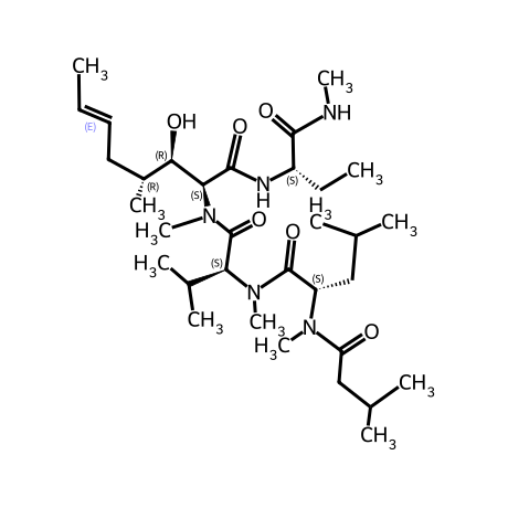 C/C=C/C[C@@H](C)[C@@H](O)[C@@H](C(=O)N[C@@H](CC)C(=O)NC)N(C)C(=O)[C@H](C(C)C)N(C)C(=O)[C@H](CC(C)C)N(C)C(=O)CC(C)C